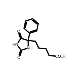 O=C(O)CCCCC1(c2ccccc2)NC(=O)NC1=O